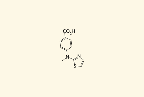 CN(c1ccc(C(=O)O)cc1)c1nccs1